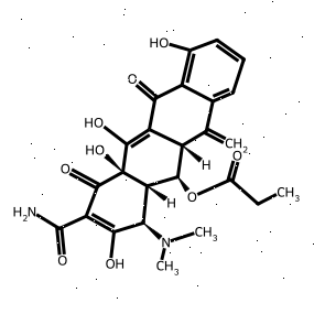 C=C1c2cccc(O)c2C(=O)C2=C(O)[C@@]3(O)C(=O)C(C(N)=O)=C(O)[C@H](N(C)C)[C@H]3[C@H](OC(=O)CC)[C@@H]12